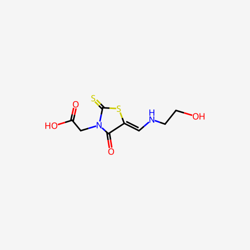 O=C(O)CN1C(=O)C(=CNCCO)SC1=S